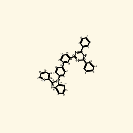 c1ccc(-c2nc(-c3ccccc3)nc(-c3cccc(-c4ccc(-n5c(-c6ccccn6)nc6ccccc65)cc4)c3)n2)cc1